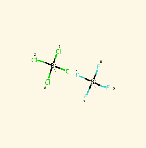 Cl[B-](Cl)(Cl)Cl.F[B-](F)(F)F